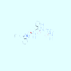 O=C(Cn1nc(C(F)(F)F)c2c1CCCC2)Nc1sc2c(c1C(=O)NCCN1CCNC1=O)CCCC2